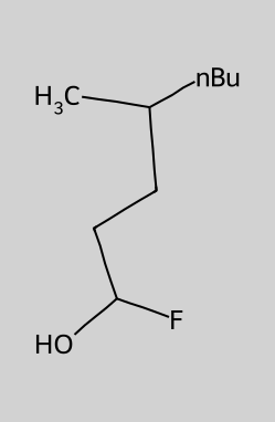 CCCCC(C)CCC(O)F